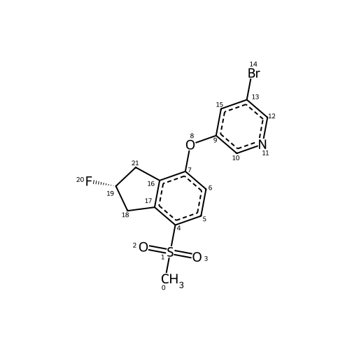 CS(=O)(=O)c1ccc(Oc2cncc(Br)c2)c2c1C[C@H](F)C2